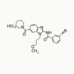 COCCCn1c(NC(=O)c2cccc(C#N)c2)nc2ccc(C(=O)N3CCC[C@@H](O)C3)cc21